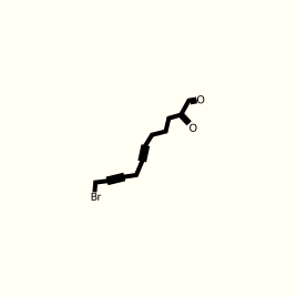 O=CC(=O)CCCC#CCC#CCBr